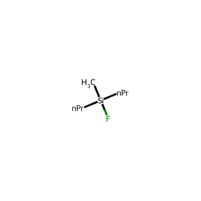 CCC[Si](C)(F)CCC